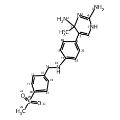 CC1(N)N=C(N)NC=C1c1ccc(NCc2ccc(S(C)(=O)=O)cc2)cc1